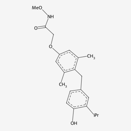 CONC(=O)COc1cc(C)c(Cc2ccc(O)c(C(C)C)c2)c(C)c1